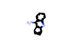 Nc1c2c(nc3ccccc13)C1C=CC2C1